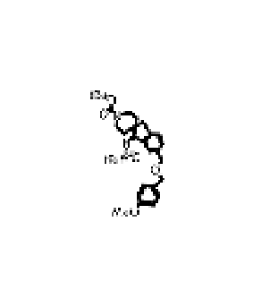 COc1ccc(COCc2ccc3c(c2)C(=N[S@+]([O-])C(C)(C)C)C2(CCN(C(=O)OC(C)(C)C)CC2)C3)cc1